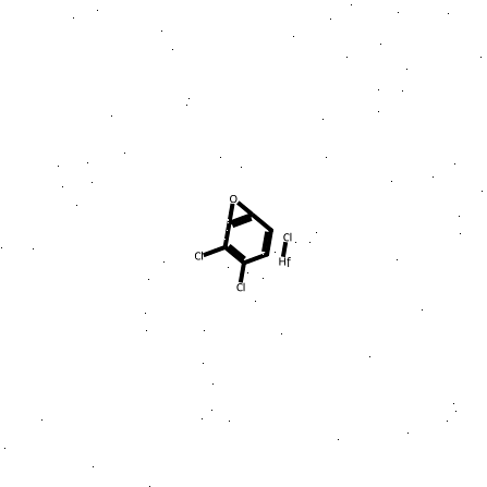 Clc1ccc2c(c1Cl)O2.[Cl][Hf]